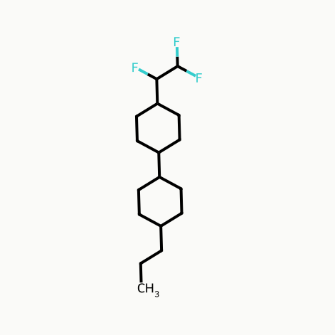 CCCC1CCC(C2CCC(C(F)C(F)F)CC2)CC1